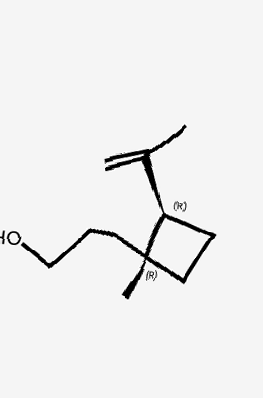 C=C(C)[C@H]1CC[C@]1(C)CCO